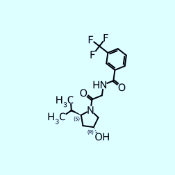 CC(C)[C@@H]1C[C@@H](O)CN1C(=O)CNC(=O)c1cccc(C(F)(F)F)c1